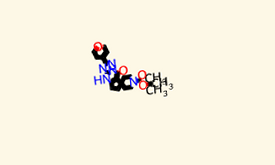 CC(C)(C)OC(=O)N1CCC2(CCc3[nH]c4nc(C5=CCOCC5)nn4c(=O)c32)CC1